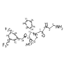 Cl.NCCNC(=O)CN1CCO[C@H](OCc2cc(C(F)(F)F)cc(C(F)(F)F)c2)[C@@H]1c1ccccc1